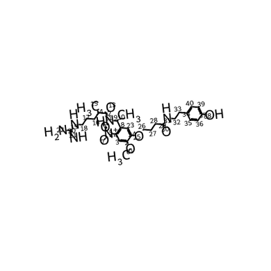 COc1cc([N+](=O)[O-])c(C(C)NC(=O)C(C)CCCNC(=N)N)cc1OCCCC(=O)NCCc1ccc(O)cc1